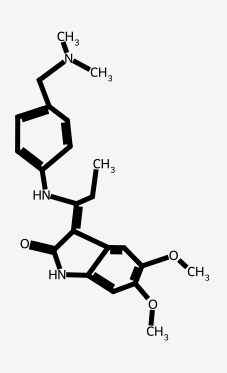 CC/C(Nc1ccc(CN(C)C)cc1)=C1/C(=O)Nc2cc(OC)c(OC)cc21